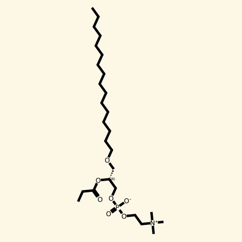 CCCCCCCCCCCCCCCCOC[C@H](COP(=O)([O-])OCC[N+](C)(C)C)OC(=O)CC